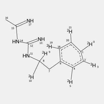 [2H]c1c([2H])c([2H])c(CC([2H])([2H])NC(=N)NC(C)=N)c([2H])c1[2H]